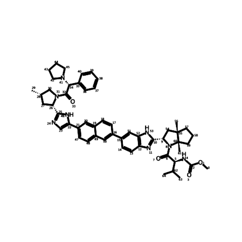 COC(=O)N[C@H](C(=O)N1[C@H](c2nc3ccc(-c4ccc5cc(-c6cnc([C@@H]7C[C@H](C)CN7C(=O)[C@@H](c7ccccc7)N7CCCC7)[nH]6)ccc5c4)cc3[nH]2)C[C@]2(C)CCC[C@]12C)C(C)C